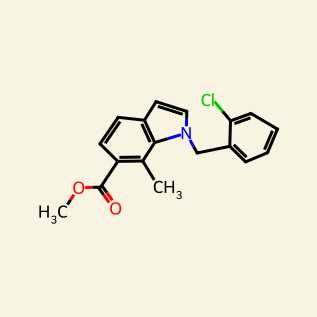 COC(=O)c1ccc2ccn(Cc3ccccc3Cl)c2c1C